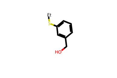 CCSc1cccc(CO)c1